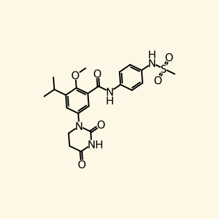 COc1c(C(=O)Nc2ccc(NS(C)(=O)=O)cc2)cc(N2CCC(=O)NC2=O)cc1C(C)C